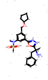 CN(c1cc(COC2CCCC2)cc(-c2nnc(C(C)(N)Cc3ccccc3)o2)c1)S(C)(=O)=O